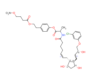 CC(NC(=O)CCC/C=C\C[C@@H]1[C@@H](/C=C/[C@@H](O)COc2cccc(Cl)c2)[C@H](O)C[C@@H]1O)C(=O)Oc1ccc(CCOC(=O)CCCO[N+](=O)[O-])cc1